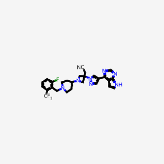 N#CCC1(n2cc(-c3ncnc4[nH]ccc34)cn2)CN(C2CCN(Cc3c(F)cccc3C(F)(F)F)CC2)C1